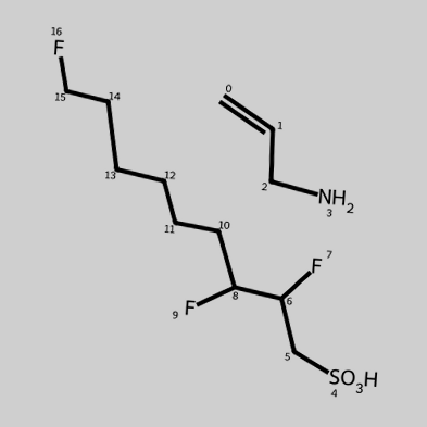 C=CCN.O=S(=O)(O)CC(F)C(F)CCCCCCF